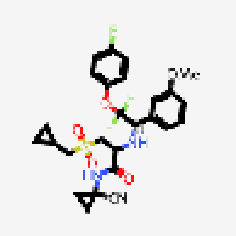 COc1cccc([C@@H](NC(CS(=O)(=O)CC2CC2)C(=O)NC2(C#N)CC2)C(F)(F)Oc2ccc(F)cc2)c1